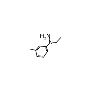 CCN(N)c1cccc(C)c1